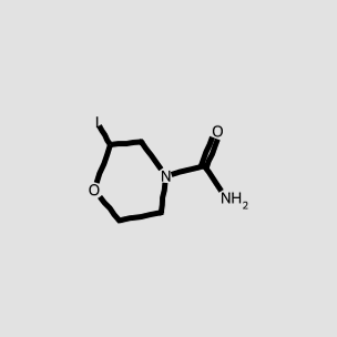 NC(=O)N1CCOC(I)C1